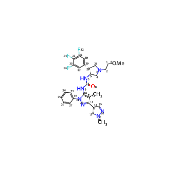 COCCN1C[C@@H](NC(=O)Nc2c(C)c(-c3cnn(C)c3)nn2-c2ccccc2)[C@H](c2cc(F)c(F)c(F)c2)C1